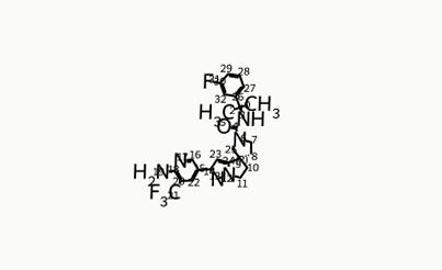 CC(C)(NC(=O)N1CC[C@@]2(CCn3nc(-c4cnc(N)c(C(F)(F)F)c4)cc32)C1)c1cccc(F)c1